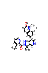 Cc1cccnc1C(=O)NC1(c2cncc(-c3ccc4c(c3)CCC(=O)N4C)c2)CC1